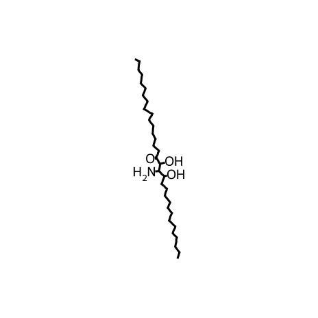 CCCCCCCCCCCCCCCCC(=O)C(O)C(N)C(O)CCCCCCCCCCCCC